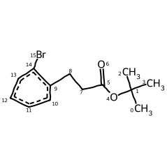 CC(C)(C)OC(=O)CCc1ccccc1Br